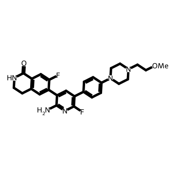 COCCN1CCN(c2ccc(-c3cc(-c4cc5c(cc4F)C(=O)NCC5)c(N)nc3F)cc2)CC1